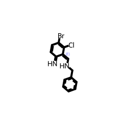 N=C1C=CC(Br)=C(Cl)/C1=C/NCc1ccccc1